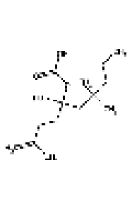 C=C(C)COC(C)(CC(C)(C)CCC)OC(=O)O